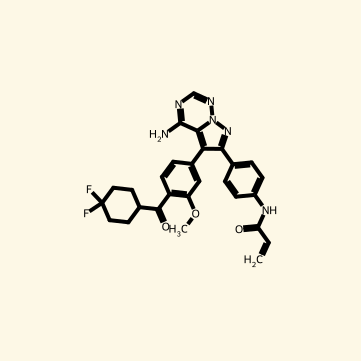 C=CC(=O)Nc1ccc(-c2nn3ncnc(N)c3c2-c2ccc(C(=O)C3CCC(F)(F)CC3)c(OC)c2)cc1